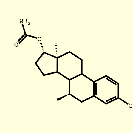 C[C@@H]1Cc2cc(O)ccc2C2CC[C@@]3(C)C(CC[C@@H]3OC(N)=O)C21